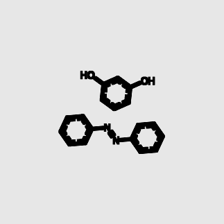 Oc1cccc(O)c1.c1ccc(N=Nc2ccccc2)cc1